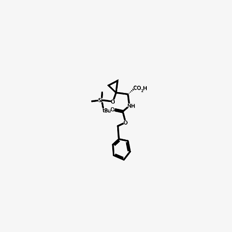 CC(C)(C)[Si](C)(C)OC1([C@@H](NC(=O)OCc2ccccc2)C(=O)O)CC1